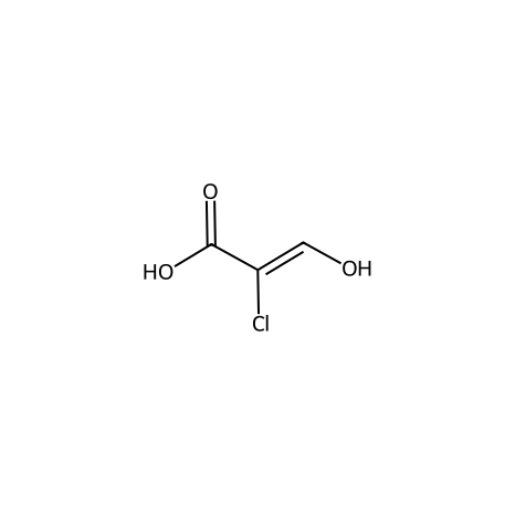 O=C(O)/C(Cl)=C/O